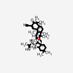 CC(=N)NNC(=O)[C@]1(CCC(C)(C)[C@]2(C)CC[C@H]3C(C)(C)C(=O)C(C#N)=C[C@]3(C)/C2=C/C(C)=O)CCC(C)(C)CC1C